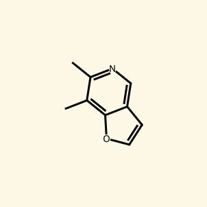 Cc1ncc2ccoc2c1C